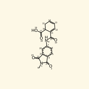 CN1C(=O)c2ccc(NC(=O)C3=CC=CCC3C(=O)O)cc2C1=O